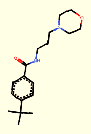 CC(C)(C)c1ccc(C(=O)NCCCN2CCOCC2)cc1